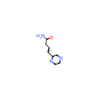 NC(=O)C/C=C/c1cnccn1